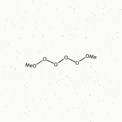 COOOOOOC